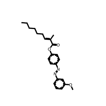 CCCCCCC=C(C)C(=O)Oc1ccc(N=Nc2cccc(OC)c2)cc1